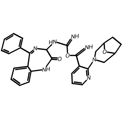 N=C(NC1N=C(c2ccccc2)c2ccccc2NC1=O)OC(=N)c1cccnc1N1CC2CCC(C1)O2